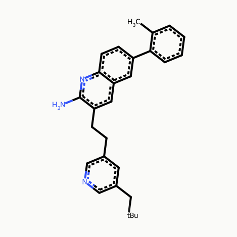 Cc1ccccc1-c1ccc2nc(N)c(CCc3cncc(CC(C)(C)C)c3)cc2c1